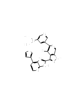 CN(C)c1cncc(-c2ncc3[nH]nc(-c4nc5c(-c6ccsc6)ccnc5[nH]4)c3c2F)c1